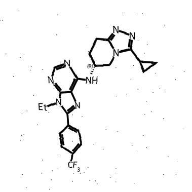 CCn1c(-c2ccc(C(F)(F)F)cc2)nc2c(N[C@@H]3CCc4nnc(C5CC5)n4C3)ncnc21